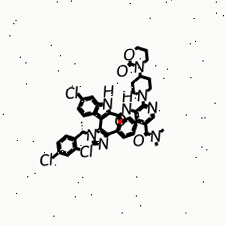 C[C@@H](c1ccc(Cl)cc1Cl)n1cnc(-c2ccccc2)c1-c1c(C(=O)Nc2cc(C(=O)N(C)C)cnc2N2CCC(N3CCCOC3=O)CC2)[nH]c2cc(Cl)ccc12